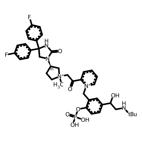 CC(C)(C)NCC(O)c1ccc(OP(=O)(O)O)c(C[n+]2ccccc2C(=O)C[N+]2(C)CC[C@@H](N3CC(c4ccc(F)cc4)(c4ccc(F)cc4)NC3=O)C2)c1